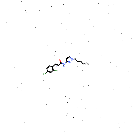 CC(=O)CCCCn1ccc(NC(=O)/C=C/c2ccc(Cl)cc2Cl)n1